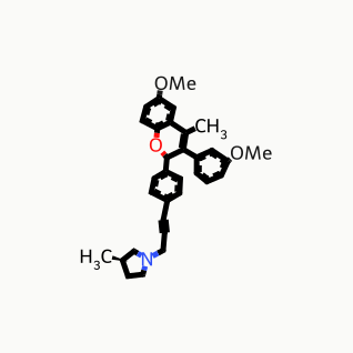 COc1cccc(C2=C(C)c3cc(OC)ccc3OC2c2ccc(C#CCN3CC[C@@H](C)C3)cc2)c1